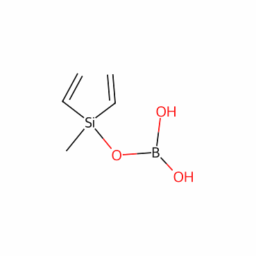 C=C[Si](C)(C=C)OB(O)O